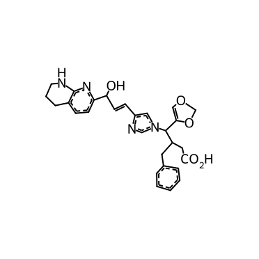 O=C(O)CC(Cc1ccccc1)C(C1=COCO1)n1cnc(C=CC(O)c2ccc3c(n2)NCCC3)c1